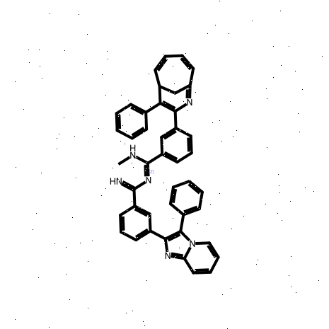 CN/C(=N\C(=N)c1cccc(-c2nc3ccccn3c2-c2ccccc2)c1)c1cccc(C2=C(c3ccccc3)C3C=CC=CC(=N2)C3)c1